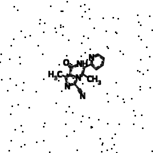 Cc1nc(C#N)n2c(C)c(-c3ccccn3)[nH]c(=O)c12